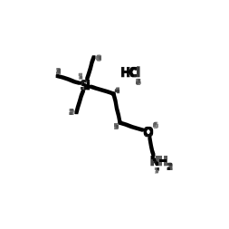 C[Si](C)(C)CCON.Cl